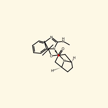 CNc1nc2ccccc2n1[C@H]1C[C@H]2CC[C@@H](C1)N2C(=O)OC(C)(C)C